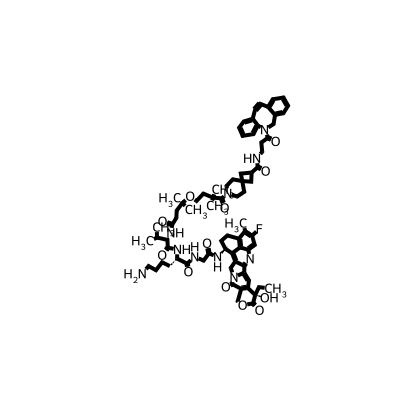 CC[C@@]1(O)C(=O)OCc2c1cc1n(c2=O)Cc2c-1nc1cc(F)c(C)c3c1c2[C@@H](NC(=O)CNC(=O)[C@H](CCCCN)NC(=O)[C@@H](NC(=O)CCC(C)(C)OCCC(C)(C)C(=O)N1CCC2(CC1)CC(C(=O)NCCC(=O)N1Cc4ccccc4C#Cc4ccccc41)C2)C(C)C)CC3